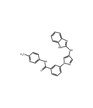 Cc1ccc(NC(=O)c2cccc(-n3cc(Nc4nc5ccccc5[nH]4)cn3)c2)cn1